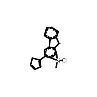 C[Si]1(Cl)c2c(C3=CC=CC3)cc3c(c21)[CH]c1ccccc1-3